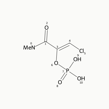 CNC(=O)C(=CCl)OP(=O)(O)O